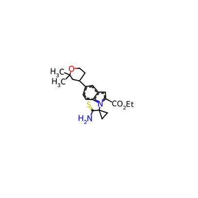 CCOC(=O)c1cc2cc(C3CCOC(C)(C)C3)ccc2n1C1(C(N)=S)CC1